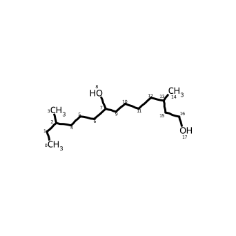 CCC(C)CCCC(O)CCCCC(C)CCO